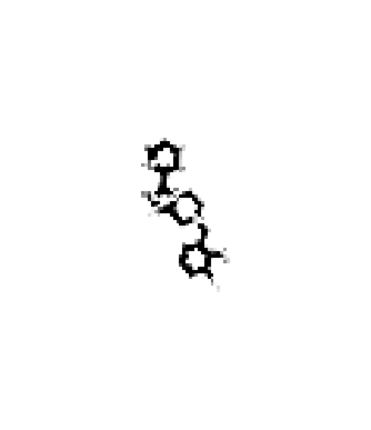 Clc1cccc(CN2CCn3c(nnc3-c3ccccn3)C2)c1Cl